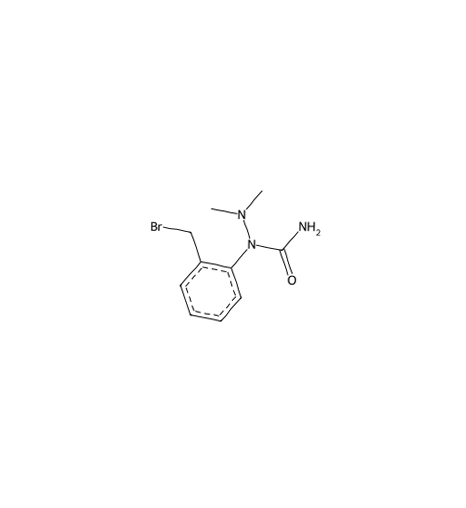 CN(C)N(C(N)=O)c1ccccc1CBr